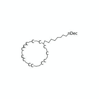 CCCCCCCCCCCCCCCCCCC1CCCCCCCCCCCCCCCCCCCCC1